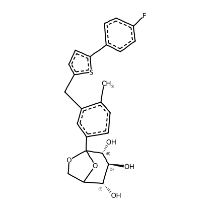 Cc1ccc(C23OCC(O2)[C@@H](O)[C@H](O)[C@H]3O)cc1Cc1ccc(-c2ccc(F)cc2)s1